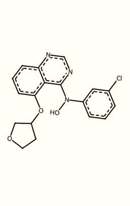 ON(c1cccc(Cl)c1)c1ncnc2cccc(OC3CCOC3)c12